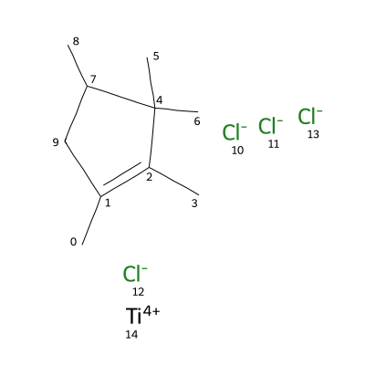 CC1=C(C)C(C)(C)C(C)C1.[Cl-].[Cl-].[Cl-].[Cl-].[Ti+4]